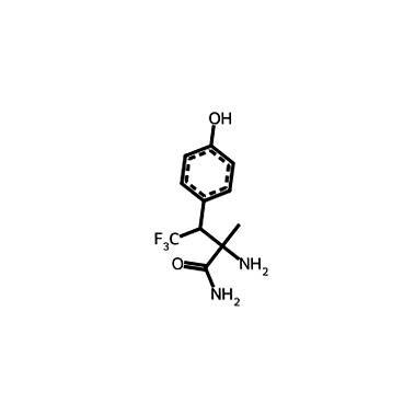 CC(N)(C(N)=O)C(c1ccc(O)cc1)C(F)(F)F